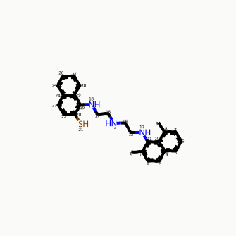 Cc1ccc2cccc(C)c2c1NCCNCCNc1c(S)ccc2ccccc12